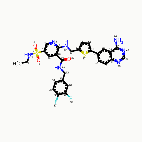 CCNS(=O)(=O)c1cnc(NCc2ccc(-c3ccc4ncnc(N)c4c3)s2)c(C(=O)NCc2ccc(F)c(F)c2)c1